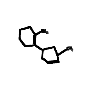 CC1C=CCC(C2=C(N)CCCC2)C1